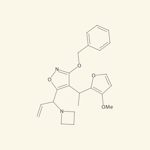 C=CC(c1onc(OCc2ccccc2)c1C(C)c1occc1OC)N1CCC1